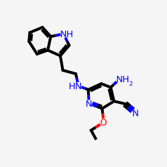 CCOc1nc(NCCc2c[nH]c3ccccc23)cc(N)c1C#N